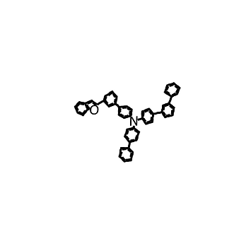 c1ccc(-c2ccc(N(c3ccc(-c4cccc(-c5ccccc5)c4)cc3)c3ccc(-c4cccc(-c5cc6ccccc6o5)c4)cc3)cc2)cc1